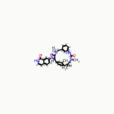 Cc1cc2ccc1[C@@H](C)CN(C)C(=O)Nc1cccc(c1)CN(C)C(=O)[C@@H]2Nc1ccc2cc[nH]c(=O)c2c1